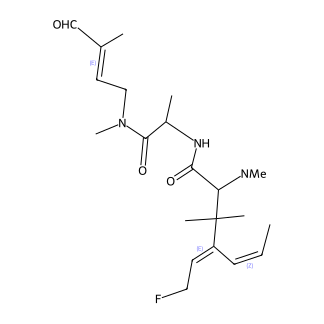 C/C=C\C(=C/CF)C(C)(C)C(NC)C(=O)NC(C)C(=O)N(C)C/C=C(\C)C=O